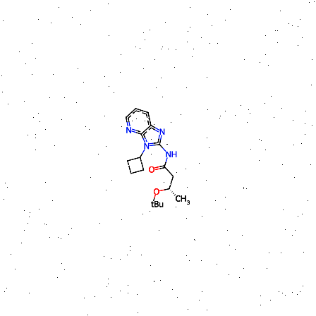 C[C@@H](CC(=O)Nc1nc2cccnc2n1C1CCC1)OC(C)(C)C